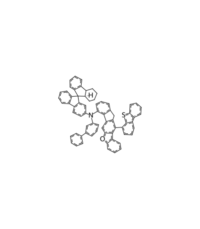 c1ccc(-c2cccc(N(c3ccc4c(c3)C3(c5ccccc5-4)c4ccccc4C4CCCC[C@H]43)c3cccc4c3-c3cc5oc6ccccc6c5c(-c5cccc6c5sc5ccccc56)c3C4)c2)cc1